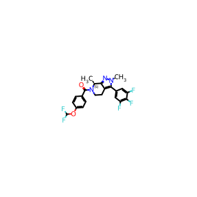 C[C@H]1c2nn(C)c(-c3cc(F)c(F)c(F)c3)c2CCN1C(=O)c1ccc(OC(F)F)cc1